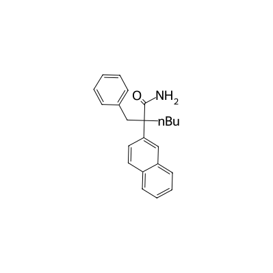 CCCCC(Cc1ccccc1)(C(N)=O)c1ccc2ccccc2c1